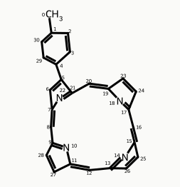 Cc1ccc(C2=CC3=CC4=NC(=CC5=NC(=CC6=NC(=CC2=N3)C=C6)C=C5)C=C4)cc1